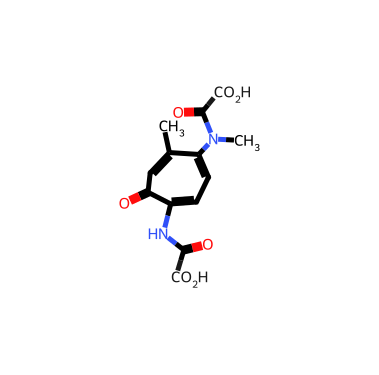 Cc1cc(=O)c(NC(=O)C(=O)O)ccc1N(C)C(=O)C(=O)O